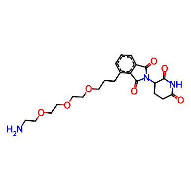 NCCOCCOCCOCCCc1cccc2c1C(=O)N(C1CCC(=O)NC1=O)C2=O